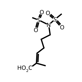 CC(=CCCCN(S(C)(=O)=O)S(C)(=O)=O)C(=O)O